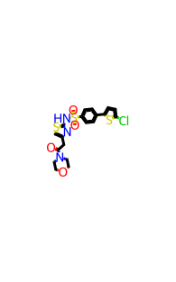 O=C(Cc1csc(NS(=O)(=O)c2ccc(-c3ccc(Cl)s3)cc2)n1)N1CCOCC1